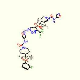 CC(C)(C1CCN(C(=O)Nc2co[n+](Cn3cc(S(=O)(=O)C(C)(C)C4CCN(C(=O)Nc5cnoc5)CC4)c(C(F)F)n3)c2)CC1)S(=O)(=O)c1cccc(F)c1